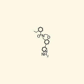 CCc1ccccc1C(=O)N1CCOc2ccc(-c3ccc(N)nc3)cc2C1